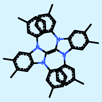 Cc1cccc(N2C(=C3N(c4cccc(C)c4)c4cc(C)c(C)cc4N3c3cccc(C)c3)N(c3cccc(C)c3)c3cc(C)c(C)cc32)c1